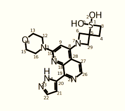 OS1(O)CCC12CN(c1cc(N3CCOCC3)nc3c(-c4ccn[nH]4)nccc13)C2